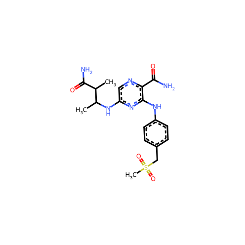 CC(Nc1cnc(C(N)=O)c(Nc2ccc(CS(C)(=O)=O)cc2)n1)C(C)C(N)=O